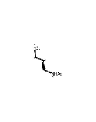 CCCCC/C=C/NC(C)=O